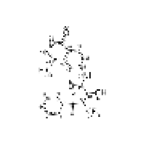 CC(C)(c1ccccc1)C(C(O)C(=O)Nc1ccc2c(=O)onc(C(F)(F)F)c2c1)C(F)(F)F